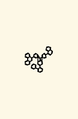 c1ccc(-c2ccccc2-c2ccc(N(c3ccc(-c4cccc5ccccc45)cc3)c3cccc(-c4cc5ccccc5c5ccccc45)c3)cc2)cc1